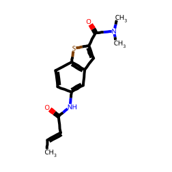 C/C=C/C(=O)Nc1ccc2sc(C(=O)N(C)C)cc2c1